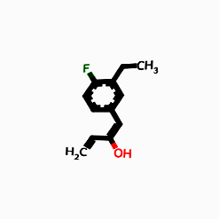 C=C/C(O)=C\c1ccc(F)c(CC)c1